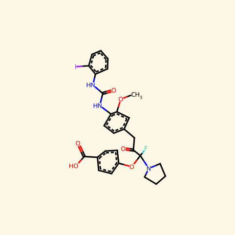 COc1cc(CC(=O)C(F)(Oc2ccc(C(=O)O)cc2)N2CCCC2)ccc1NC(=O)Nc1ccccc1I